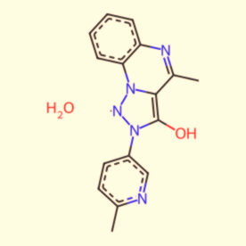 CC1=Nc2ccccc2N2[N]N(c3ccc(C)nc3)C(O)=C12.O